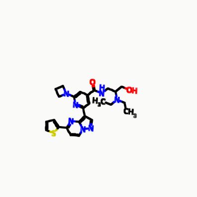 CCN(CC)C(CO)CNC(=O)c1cc(-c2cnn3ccc(-c4cccs4)nc23)nc(N2CCC2)c1